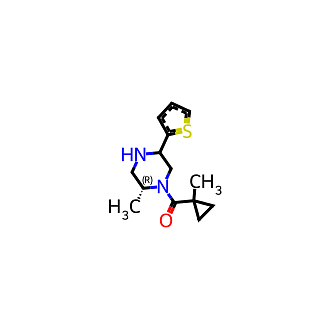 C[C@@H]1CNC(c2cccs2)CN1C(=O)C1(C)CC1